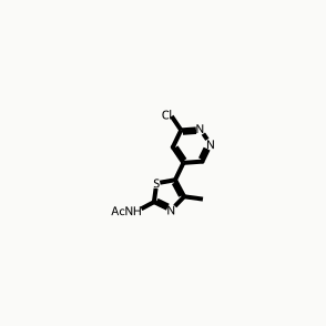 CC(=O)Nc1nc(C)c(-c2cnnc(Cl)c2)s1